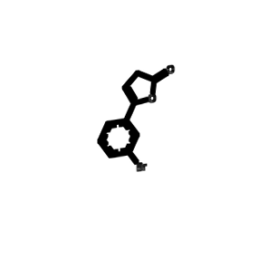 O=C1CC=C(c2cccc(Br)c2)O1